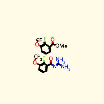 COC(=O)c1cccc(OC(F)(F)F)c1F.NC(N)=NC(=O)c1cccc(OC(F)(F)F)c1F